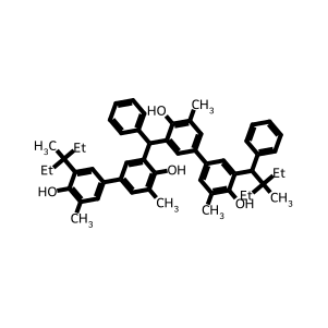 CCC(C)(CC)c1cc(-c2cc(C)c(O)c(C(c3ccccc3)c3cc(-c4cc(C)c(O)c(C(c5ccccc5)C(C)(CC)CC)c4)cc(C)c3O)c2)cc(C)c1O